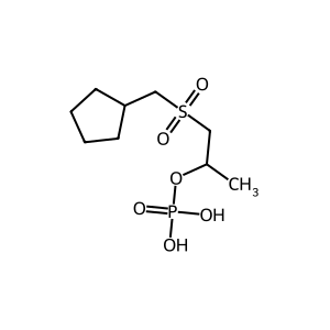 CC(CS(=O)(=O)CC1CCCC1)OP(=O)(O)O